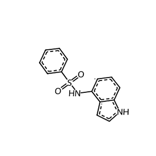 O=S(=O)(Nc1[c]ccc2[nH]ccc12)c1ccccc1